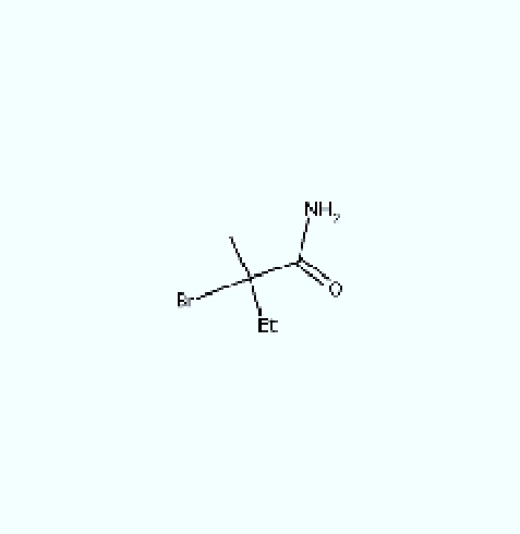 CCC(C)(Br)C(N)=O